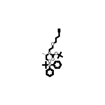 C#CCCCOCCN(C(=O)OC(C)(C)C)[C@@H](C)CO[Si](c1ccccc1)(c1ccccc1)C(C)(C)C